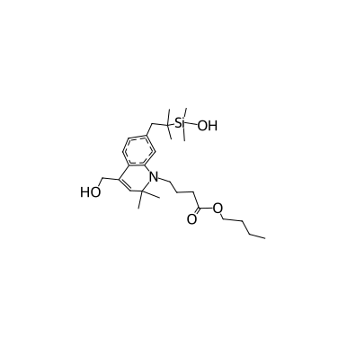 CCCCOC(=O)CCCN1c2cc(CC(C)(C)[Si](C)(C)O)ccc2C(CO)=CC1(C)C